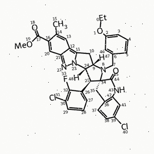 CCOc1cccc(CN2[C@H]3Cc4c5cc(C)c(C(=O)OC)cc5nn4[C@H]3[C@H](c3cccc(Cl)c3F)[C@@]23Cc2ccc(Cl)cc2NC3=O)c1